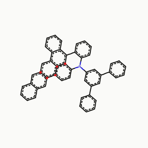 c1ccc(-c2cc(-c3ccccc3)cc(N(c3ccc(-c4ccc5ccccc5c4)cc3)c3ccccc3-c3cc4ccccc4c4ccccc34)c2)cc1